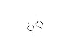 CCO.Cc1ccc(C)cc1.Cc1ccc(C)cc1